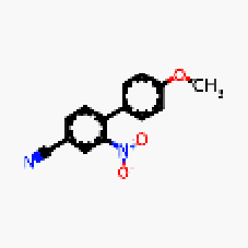 COc1ccc(-c2ccc(C#N)cc2[N+](=O)[O-])cc1